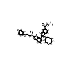 COC(=O)c1ccc2c(c1)nc(-c1cccc3nc(NCCCc4ccccc4)sc13)n2C1CCCCCCC1